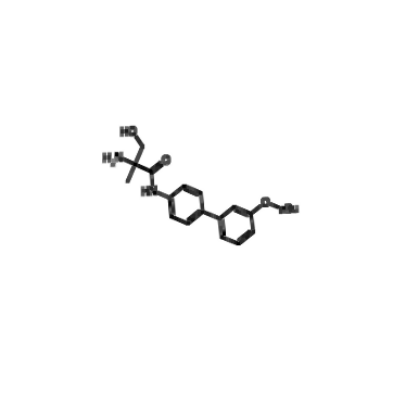 CCCCOc1cccc(-c2ccc(NC(=O)C(C)(N)CO)cc2)c1